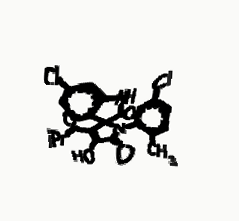 Cc1ccc(Cl)cc1N1C(=O)C(O)=C(C(=O)C(C)C)C12C(=O)Nc1cc(Cl)ccc12